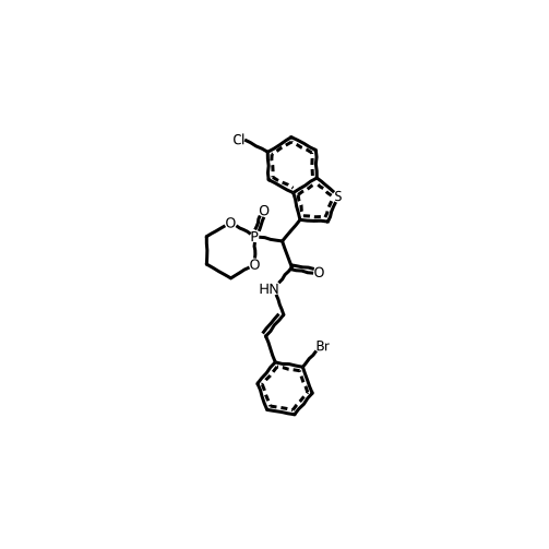 O=C(NC=Cc1ccccc1Br)C(c1csc2ccc(Cl)cc12)P1(=O)OCCCO1